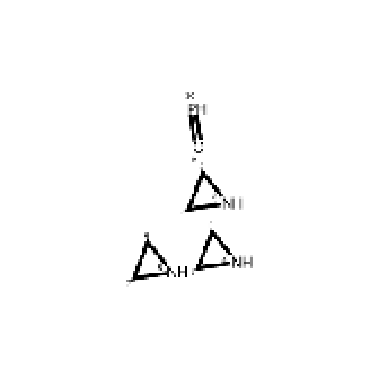 C1CN1.C1CN1.C1CN1.O=P